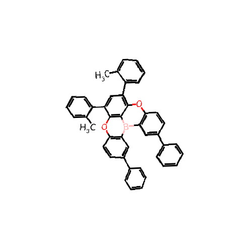 Cc1ccccc1-c1cc(-c2ccccc2C)c2c3c1Oc1ccc(-c4ccccc4)cc1B3c1cc(-c3ccccc3)ccc1O2